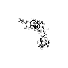 C[C@H](CCC(=O)OC(C(F)(F)F)C(F)(F)S(=O)(=O)O)[C@H]1CC[C@H]2[C@@H]3CCC4C[C@H](OC=O)CC[C@]4(C)[C@H]3C[C@H](O)[C@]12C